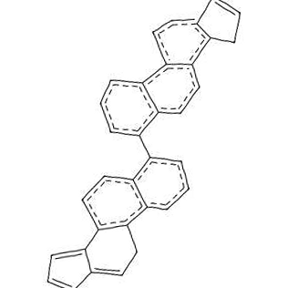 C1=CC2=CCc3c(ccc4c(-c5cccc6c5ccc5c7c(ccc56)C=CC7)cccc34)C2=C1